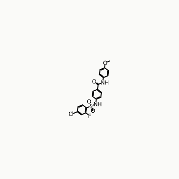 COc1ccc(NC(=O)c2ccc(NS(=O)(=O)c3ccc(Cl)cc3F)cc2)cc1